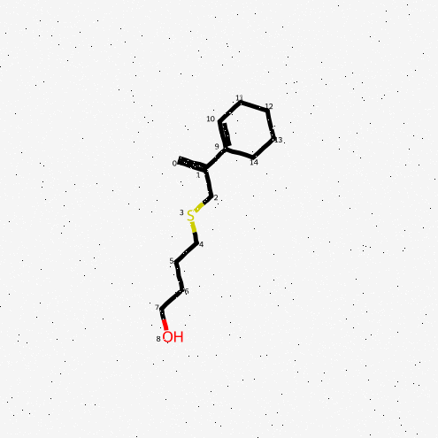 C=C(CSCCCCO)C1=CCCCC1